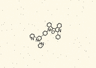 c1ccc(-c2nc3ccccc3c3c2oc2c3c3ccccc3n2-c2ccc(-c3cc(-c4ccccn4)nc(-c4ccccn4)c3)cc2)cc1